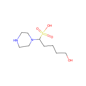 O=S(=O)(O)C(CCCCO)N1CCNCC1